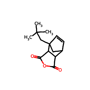 CC(C)(C)CC12C=CC(C1)C1C(=O)OC(=O)C12